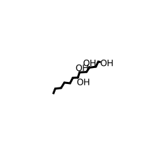 CCCCCCC(O)C(O)CC(O)CCO